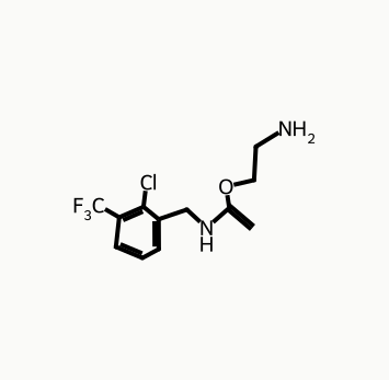 C=C(NCc1cccc(C(F)(F)F)c1Cl)OCCN